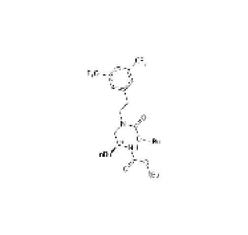 CCCC[C@@H](CN(CCc1cc(C(F)(F)F)cc(C(F)(F)F)c1)C(=O)OC(C)(C)C)NC(=O)OC(C)(C)C